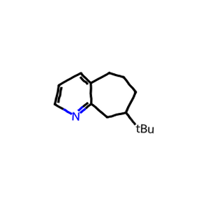 CC(C)(C)C1CCCc2cccnc2C1